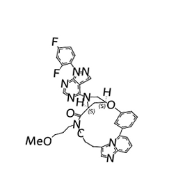 COCCCN1CCCc2cnc3cccc(n23)-c2cccc(c2)O[C@H]2C[C@@H](C1=O)N(c1ncnc3c1cnn3-c1ccc(F)cc1F)C2